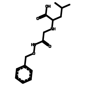 CC(C)CC(NCC(=O)NOCc1ccccc1)C(=O)O